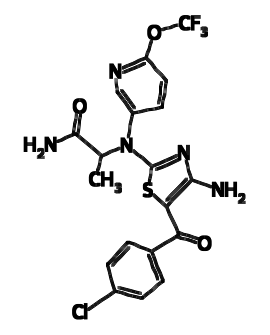 CC(C(N)=O)N(c1ccc(OC(F)(F)F)nc1)c1nc(N)c(C(=O)c2ccc(Cl)cc2)s1